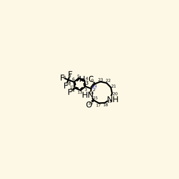 C/C1=C(\c2ccc(C(F)(F)F)c(F)c2)NC(=O)CCNCCCC1